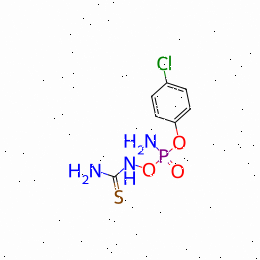 NC(=S)NOP(N)(=O)Oc1ccc(Cl)cc1